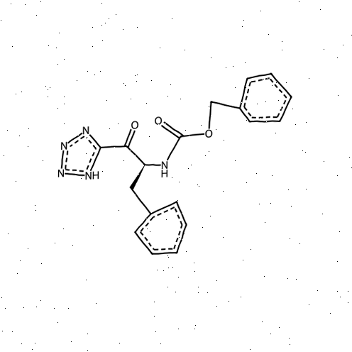 O=C(N[C@@H](Cc1ccccc1)C(=O)c1nnn[nH]1)OCc1ccccc1